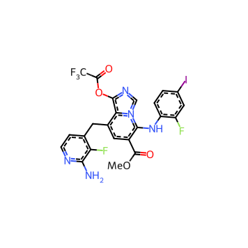 COC(=O)c1cc(Cc2ccnc(N)c2F)c2c(OC(=O)C(F)(F)F)ncn2c1Nc1ccc(I)cc1F